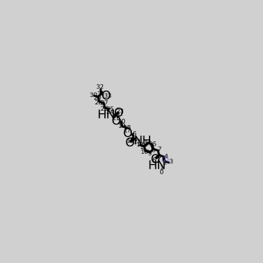 CN/C(C)=C\C(=O)Cc1ccc(CNC(=O)COCCCOC(=O)NCCCCC(C)C(C)=O)cc1